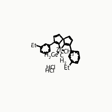 CCc1cccc(C2=[C]([Zr]([CH3])([CH3])(=[GeH2])[C]3=C(c4cccc(CC)c4)C=CC3)CC=C2)c1.Cl.Cl